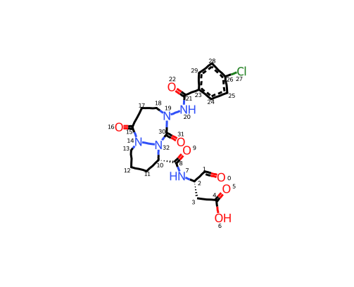 O=C[C@H](CC(=O)O)NC(=O)[C@@H]1CCCN2C(=O)CCN(NC(=O)c3ccc(Cl)cc3)C(=O)N12